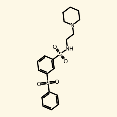 O=S(=O)(NCCN1CCCCC1)c1cccc(S(=O)(=O)c2ccccc2)c1